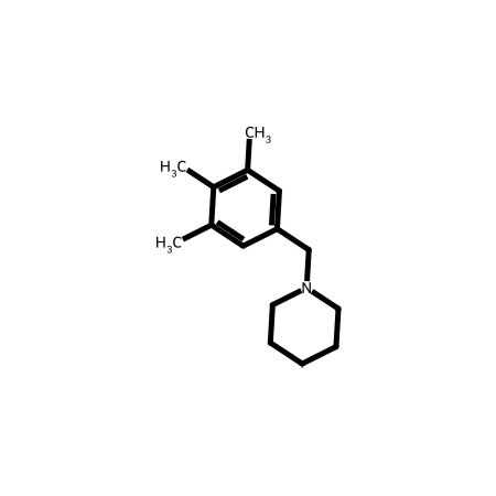 Cc1cc(CN2CC[CH]CC2)cc(C)c1C